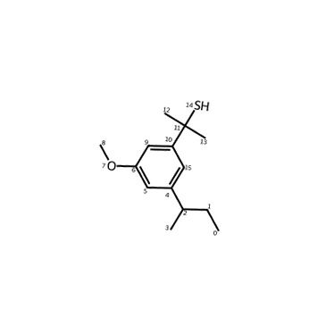 CCC(C)c1cc(OC)cc(C(C)(C)S)c1